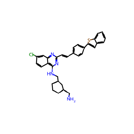 NCC1CCCC(CNc2nc(C=Cc3ccc(-c4cc5ccccc5s4)cc3)nc3cc(Cl)ccc23)C1